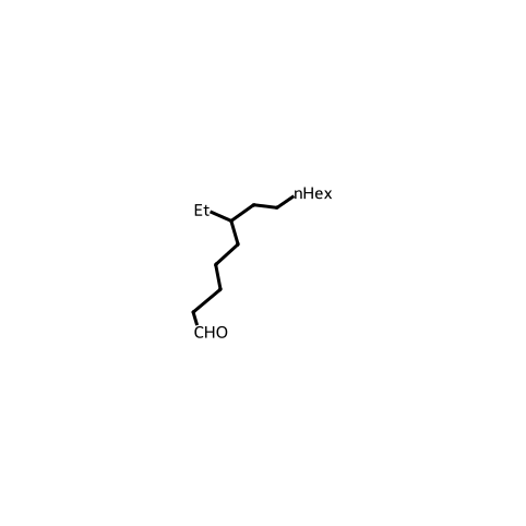 CCCCCCCCC(CC)CCCCC=O